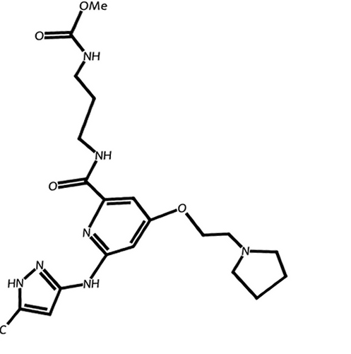 COC(=O)NCCCNC(=O)c1cc(OCCN2CCCC2)cc(Nc2cc(C)[nH]n2)n1